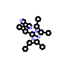 N#Cc1c(-n2c3ccc(-c4ccccc4)cc3c3cc(-c4ccccc4)ccc32)cc(-c2ccc3c(c2)C2(c4ccccc4-3)c3cnccc3-c3ccncc32)cc1-n1c2ccc(-c3ccccc3)cc2c2cc(-c3ccccc3)ccc21